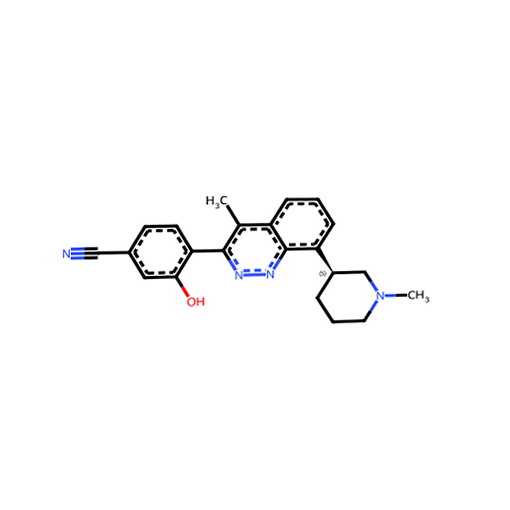 Cc1c(-c2ccc(C#N)cc2O)nnc2c([C@@H]3CCCN(C)C3)cccc12